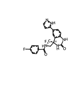 O=C1Nc2ccc(-c3ccn[nH]3)cc2[C@](CNC(=O)c2ccc(F)cc2)(C(F)(F)F)N1